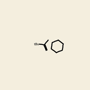 C1CCCCC1.C=C(C)C(C)(C)C